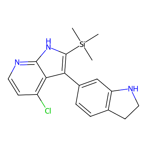 C[Si](C)(C)c1[nH]c2nccc(Cl)c2c1-c1ccc2c(c1)NCC2